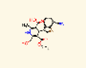 COC(=O)C1=C(CO)NC(C)=C(C(=O)O)C1c1csc2c(C#N)cccc12